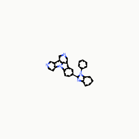 c1ccc(-n2c(-c3ccc4c(c3)c3cncc5c6cnccc6n4c53)nc3ccccc32)cc1